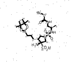 C[C@H](CNC(=O)OC(C)(C)C)NS(=O)(=O)N1C[C@@H](CCCB2OC(C)(C)C(C)(C)O2)[C@](N)(C(=O)O)C1